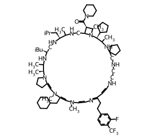 CC[C@H](C)[C@H]1CN[C@@H](CC(C)C)C(C)NCC2[C@@H](C(=O)N3CCCCC3)C(C)N2[C@@H](C2CCCC2)C(C)NC2(CCCC2)CNCCNC=CC(CCc2ccc(C(F)(F)F)c(F)c2)=NC=CN(C)C=C(CC2CCCCC2)N(C)C=C2CCCN2[C@@H](C)C(C)N1